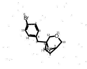 Brc1ccc(CC23CCC(COC2)N3)cc1